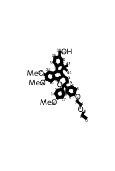 C=CCOCCOc1ccc(C2(c3ccc(OC)cc3)C=Cc3c4c(c5cc(OC)c(OC)cc5c3O2)-c2ccc(CO)cc2C4(C)C)cc1